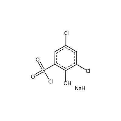 O=S(=O)(Cl)c1cc(Cl)cc(Cl)c1O.[NaH]